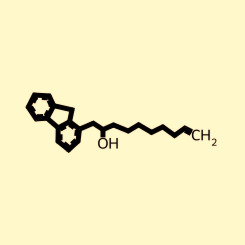 C=CCCCCCCC(O)Cc1cccc2c1Cc1ccccc1-2